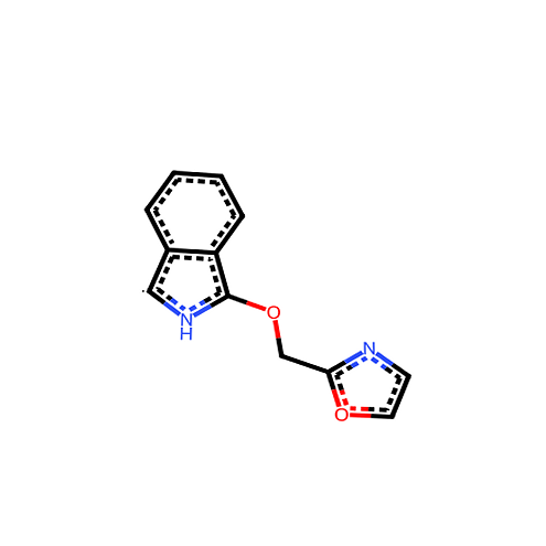 [c]1[nH]c(OCc2ncco2)c2ccccc12